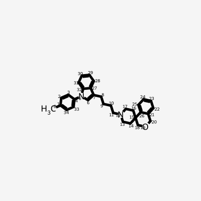 Cc1ccc(-n2cc(CCCCN3CCC4(CC3)COCc3ccccc34)c3ccccc32)cc1